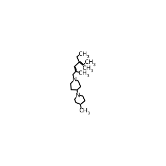 CCC(/C=C(\C)CN1CCC(N2CCC(C)CC2)CC1)=C(C)C